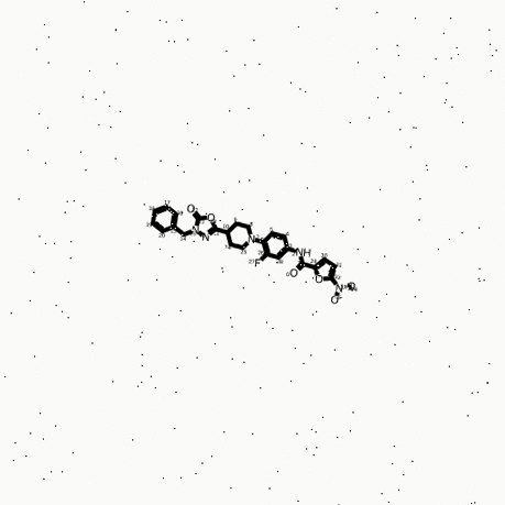 O=C(Nc1ccc(N2CCC(c3nn(Cc4ccccc4)c(=O)o3)CC2)c(F)c1)c1ccc([N+](=O)[O-])o1